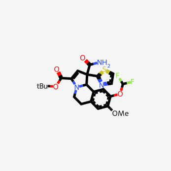 COc1cc2c(cc1OC(F)F)C1N(CC2)C(C(=O)OC(C)(C)C)=CC1(C(N)=O)c1nccs1